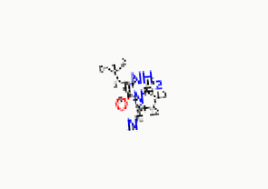 CC(C)C[C@H](N)C(=O)N1[C@H](C#N)CC[C@@H]1C